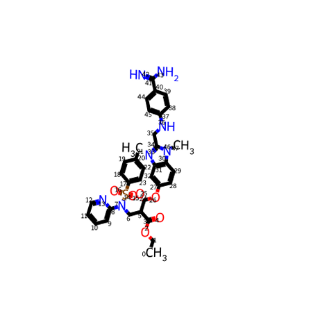 CCOC(=O)C(CN(c1ccccn1)S(=O)(=O)c1ccc(C)cc1)C(=O)Oc1ccc2c(c1)nc(CNc1ccc(C(=N)N)cc1)n2C